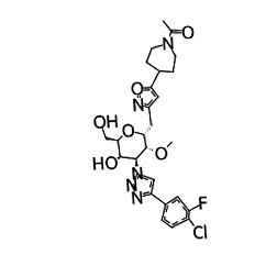 CO[C@@H]1[C@@H](n2cc(-c3ccc(Cl)c(F)c3)nn2)[C@@H](O)[C@@H](CO)O[C@@H]1Cc1cc(C2CCN(C(C)=O)CC2)on1